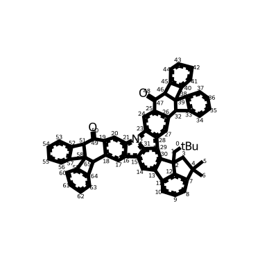 CC(C)(C)CC12CC(C)(C)c3cccc(c31)-c1cc3c4cc5c(cc4n4c6cc7c(cc6c(c12)c34)C1c2ccccc2C12c1ccccc1C2C7=O)C(=O)C1c2ccccc2C12c1ccccc1C52